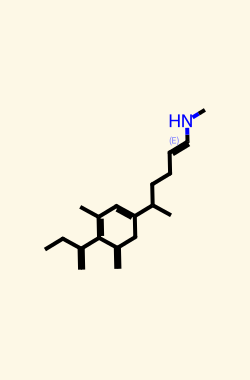 C=C(CC)C1=C(C)C=C(C(C)CC/C=C/NC)CC1=C